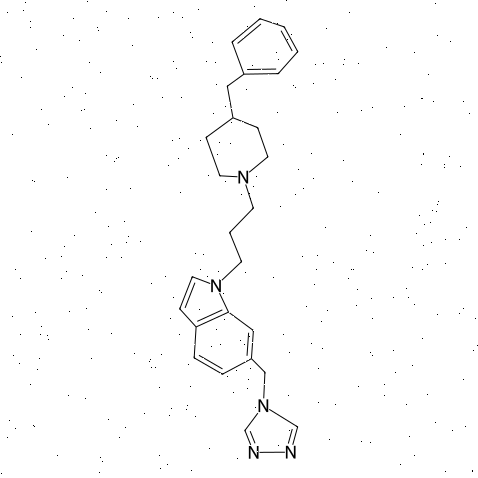 c1ccc(CC2CCN(CCCn3ccc4ccc(Cn5cnnc5)cc43)CC2)cc1